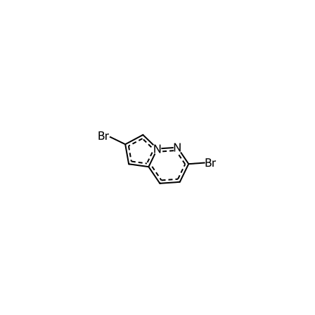 Brc1cc2ccc(Br)nn2c1